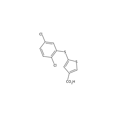 O=C(O)c1csc(Sc2cc(Cl)ccc2Cl)c1